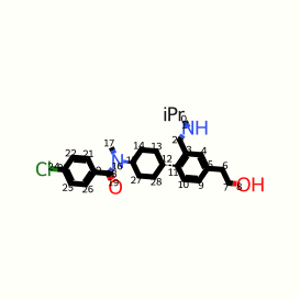 CC(C)NCc1cc(CCO)ccc1[C@H]1CC[C@H](N(C)C(=O)c2ccc(Cl)cc2)CC1